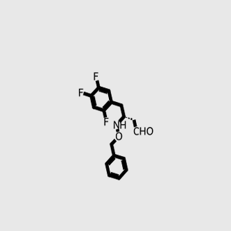 O=CC[C@@H](Cc1cc(F)c(F)cc1F)NOCc1ccccc1